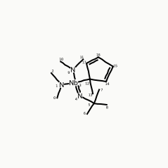 C[N](C)[Nb](=[N]C(C)(C)C)([N](C)C)[C]1(C)C=CC=C1